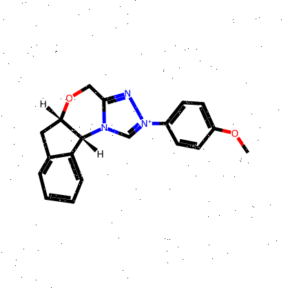 COc1ccc(-[n+]2cn3c(n2)CO[C@H]2Cc4ccccc4[C@H]23)cc1